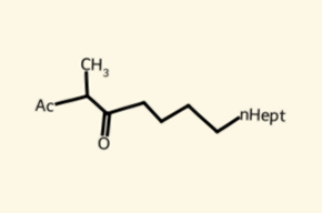 CCCCCCCCCCCC(=O)C(C)C(C)=O